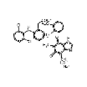 CC(=O)Oc1ccccc1C(=O)O.Cn1c(=O)c2[nH]cnc2n(C)c1=O.O.O=C([O-])Cc1ccccc1Nc1c(Cl)cccc1Cl.[Na+]